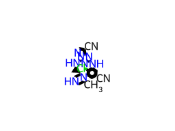 C[C@H]1CNCCN1c1cc(C#N)cc(Nc2nc(NC3CC3)n3ncc(C#N)c3n2)c1Cl